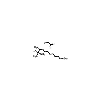 CCC(=O)O.CCCCCCCCCCCCCCCCCCC(C)C(C)(N)O